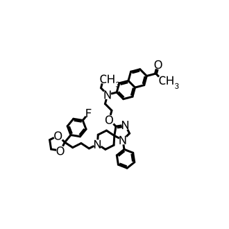 CCN(CCOC1=NCN(c2ccccc2)C12CCN(CCCC1(c3ccc(F)cc3)OCCO1)CC2)c1ccc2cc(C(C)=O)ccc2c1